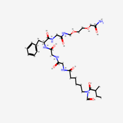 CCC(C)C(=O)N(C=O)CCCCCC(=O)NCC(=O)NCC(=O)N[C@@H](Cc1ccccc1)C(=O)NCC(=O)NCOCCOCC(N)=O